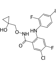 O=C(NOCC1(O)CC1)c1cc(Cl)c(F)cc1Nc1ccc(I)cc1F